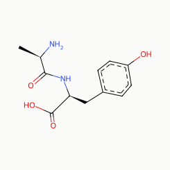 C[C@@H](N)C(=O)N[C@@H](Cc1ccc(O)cc1)C(=O)O